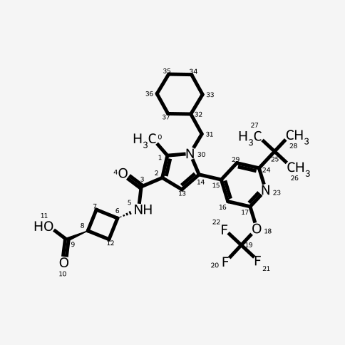 Cc1c(C(=O)N[C@H]2C[C@H](C(=O)O)C2)cc(-c2cc(OC(F)(F)F)nc(C(C)(C)C)c2)n1CC1CCCCC1